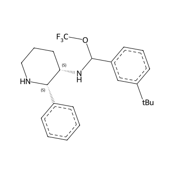 CC(C)(C)c1cccc(C(N[C@H]2CCCN[C@H]2c2ccccc2)OC(F)(F)F)c1